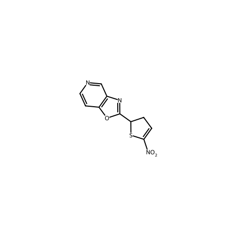 O=[N+]([O-])C1=CCC(c2nc3cnccc3o2)S1